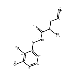 N=CCC(N)C(=O)NCc1cccc(Cl)c1F